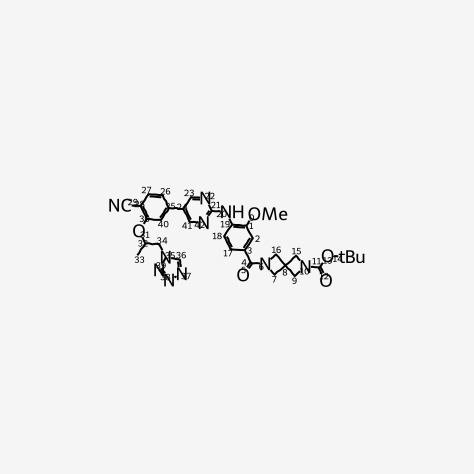 COc1cc(C(=O)N2CC3(CN(C(=O)OC(C)(C)C)C3)C2)ccc1Nc1ncc(-c2ccc(C#N)c(OC(C)Cn3cnnn3)c2)cn1